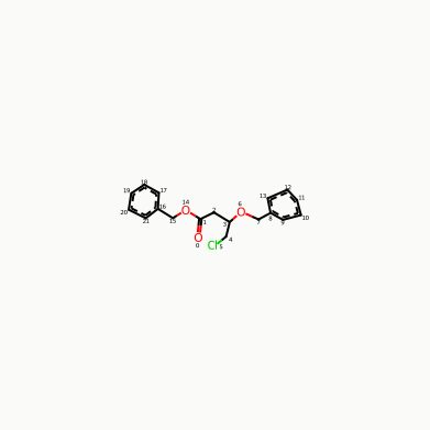 O=C(CC(CCl)OCc1ccccc1)OCc1ccccc1